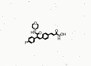 O=C(C=Cc1ccc(C=C(C(=O)NN2CCOCC2)c2ccc(F)cc2)cc1)NO